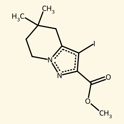 COC(=O)c1nn2c(c1I)CC(C)(C)CC2